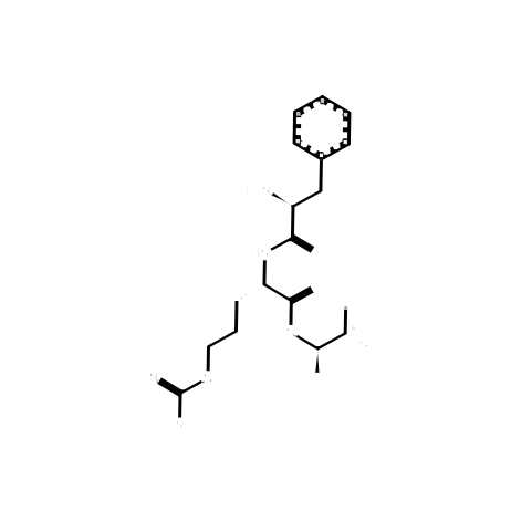 C[C@@H](O)[C@H](NC(=O)[C@H](CCCNC(=N)N)NC(=O)[C@@H](N)Cc1ccccc1)C(=O)O